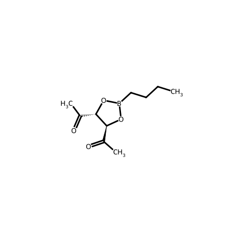 CCCCB1O[C@@H](C(C)=O)[C@H](C(C)=O)O1